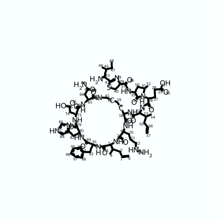 C=CCC(C)C1NC(=O)C(CCCNN)NC(=O)C(NC(=O)C(NC(=O)C(CCC(=O)O)N2C(=O)C(NC(=O)C3CSC(C(N)C(C)CC)=N3)CC2C)C(C)CC=C)CCCCNC(=O)C(CC(N)=O)NC(=O)C(CC(=O)O)NC(=O)C(Cc2c[nH]cn2)NC(=O)C(Cc2ccccc2)NC1=O